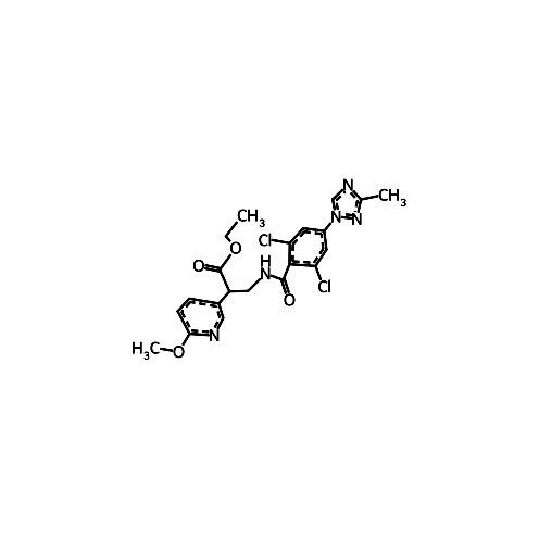 CCOC(=O)C(CNC(=O)c1c(Cl)cc(-n2cnc(C)n2)cc1Cl)c1ccc(OC)nc1